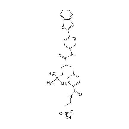 CC(C)(C)CCC(Cc1ccc(C(=O)NCCS(=O)(=O)O)cc1)C(=O)Nc1ccc(-c2cc3ccccc3o2)cc1